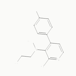 CN(CCO)c1c(-c2ccc(F)cc2)ccnc1Cl